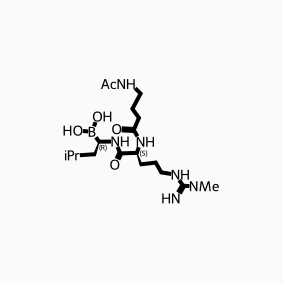 CNC(=N)NCCC[C@H](NC(=O)CCCNC(C)=O)C(=O)N[C@@H](CC(C)C)B(O)O